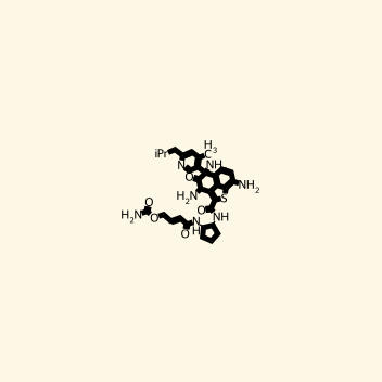 Cc1cc(CC(C)C)ncc1C1(N)C(=O)C(N)c2c(C(=O)N[C@@H]3CCC[C@@H]3NC(=O)/C=C/COC(N)=O)sc3c(N)ccc1c23